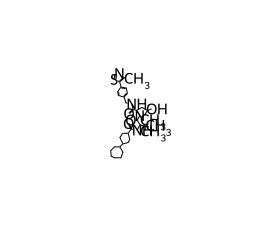 Cc1ncsc1-c1ccc(CNC(=O)C2CC(O)CN2C(=O)C(NC(=O)C2CCC(C3CCCCCC3)CC2)C(C)(C)C)cc1